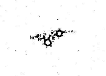 CC(=O)Nc1ccc(S(=O)(=O)CC2CCCCC2C(=O)NCC#N)cc1